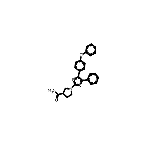 NC(=O)C1CCN(c2nc(-c3ccc(Oc4ccccc4)cc3)c(-c3ccccc3)s2)C1